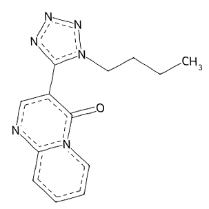 CCCCn1nnnc1-c1cnc2ccccn2c1=O